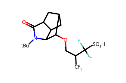 CC(C)(C)N1C(=O)C2CC3CC2C1C3OCC(C(F)(F)F)C(F)(F)S(=O)(=O)O